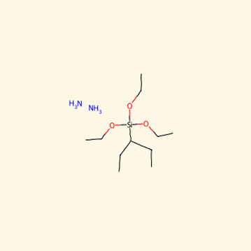 CCO[Si](OCC)(OCC)C(CC)CC.N.N